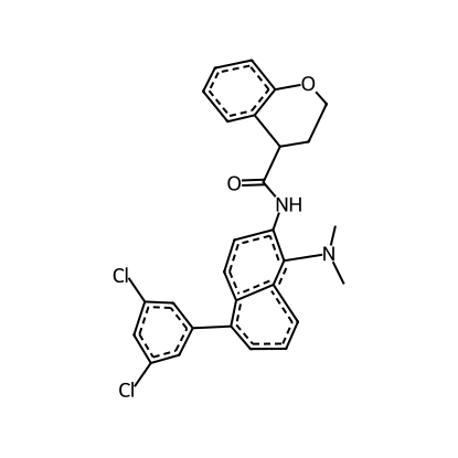 CN(C)c1c(NC(=O)C2CCOc3ccccc32)ccc2c(-c3cc(Cl)cc(Cl)c3)cccc12